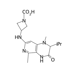 Cc1nc(NC2CN(C(=O)O)C2)cc2c1NC(=O)C(C(C)C)N2C